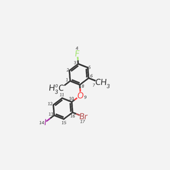 Cc1cc(F)cc(C)c1Oc1ccc(I)cc1Br